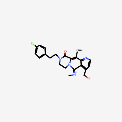 C/N=c1/c2c(CBr)ccnc2c(OC(C)=O)c2n1CCN(CCc1ccc(F)cc1)C2=O